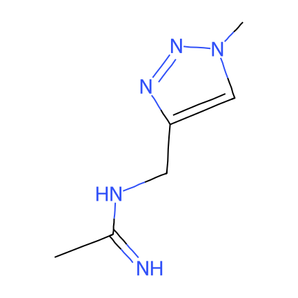 CC(=N)NCc1cn(C)nn1